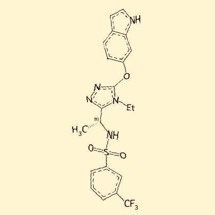 CCn1c(Oc2ccc3cc[nH]c3c2)nnc1[C@@H](C)NS(=O)(=O)c1cccc(C(F)(F)F)c1